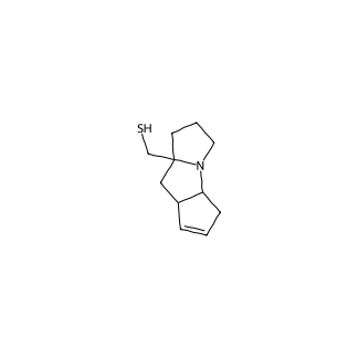 SCC12CCCN1C1CC=CC1C2